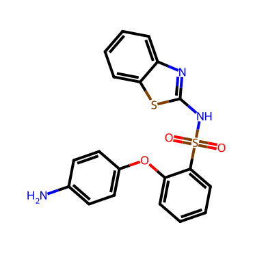 Nc1ccc(Oc2ccccc2S(=O)(=O)Nc2nc3ccccc3s2)cc1